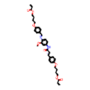 C=CC(=O)OCCCCOc1ccc(/C=C/C(=O)Nc2ccc(/N=C/c3ccc(OCCCCOC(=O)C=C)cc3)c(OC)c2)cc1